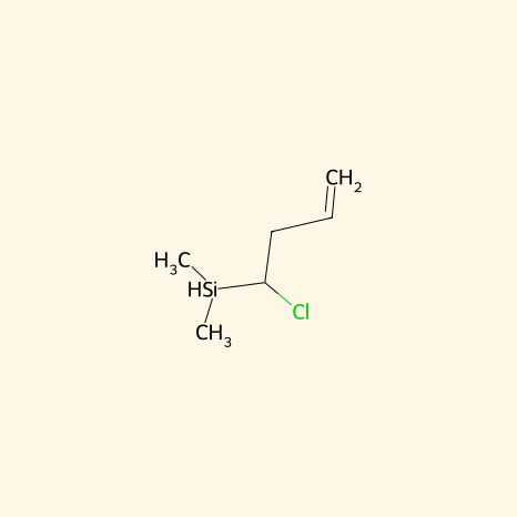 C=CCC(Cl)[SiH](C)C